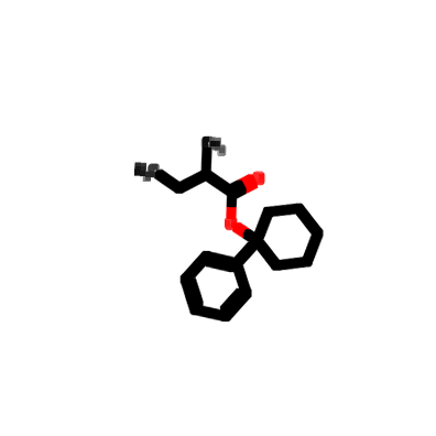 CCC(C)C(=O)OC1(c2ccccc2)CCCCC1